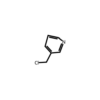 ClCc1cc[c]nc1